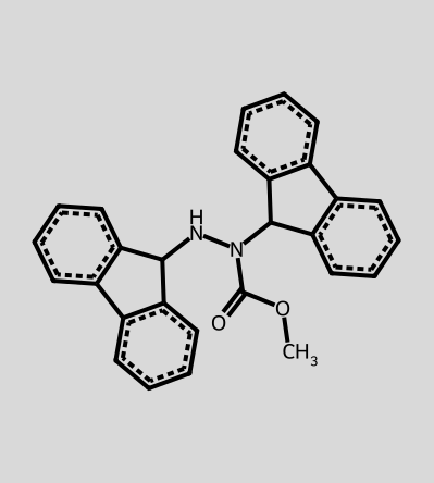 COC(=O)N(NC1c2ccccc2-c2ccccc21)C1c2ccccc2-c2ccccc21